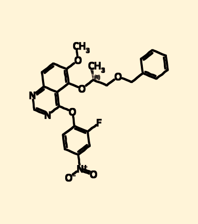 COc1ccc2ncnc(Oc3ccc([N+](=O)[O-])cc3F)c2c1O[C@H](C)COCc1ccccc1